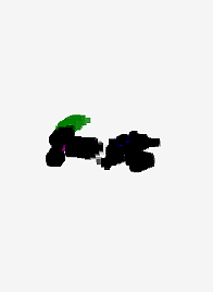 C1CCC(P(C2CCCCC2)C2CCCCC2)CC1.Cc1cc(C)c(N2CCN(c3c(C)cc(C)cc3C)[C]2=[Ru+2]=[CH]Cc2ccccc2)c(C)c1.[Cl-].[Cl-]